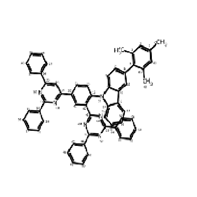 Cc1cc(C)c(-c2ccc3c(c2)c2ccccc2n3-c2ccc(-c3cc(-c4ccccc4)nc(-c4ccccc4)n3)cc2-c2nc(-c3ccccc3)nc(-c3ccccc3)n2)c(C)c1